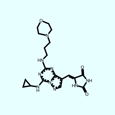 O=C1NC(=O)/C(=C/c2cnn3c(NC4CC4)nc(NCCCN4CCOCC4)nc23)N1